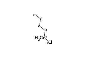 CCC[CH2][GeH2][Cl]